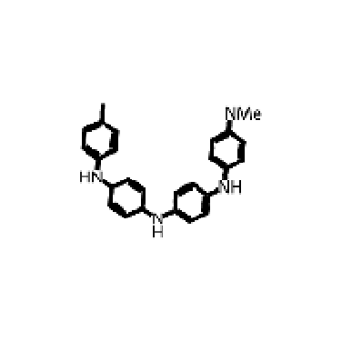 CNc1ccc(Nc2ccc(NC3C=CC(Nc4ccc(C)cc4)C=C3)cc2)cc1